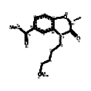 COCCCCN1C(=O)[C@@H](C)Oc2ccc(C(=O)OC)cc21